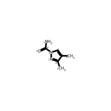 Cc1cn(C(N)=O)nc1C